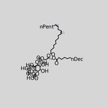 CCCCC/C=C\C/C=C\CCCCCCCC(=O)O[C@H](COC(=O)CCCCCCCCCCCCCCC)COP(=O)(O)O[C@H]1C(O)C(O)C(OP(=O)(O)O)[C@@H](OP(=O)(O)O)C1O